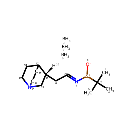 B.B.B.CC(C)(C)[S+]([O-])N=CC[C@@H]1CN2CCC1CC2